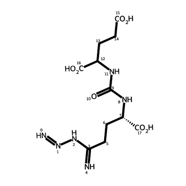 N=NNC(=N)CC[C@H](NC(=O)NC(CCC(=O)O)C(=O)O)C(=O)O